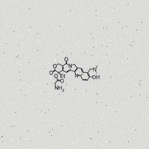 CC[C@@]1(OC(=O)CN)C(=O)OCc2c1cc1n(c2=O)Cc2cc3c(CN(C)C)c(O)ccc3nc2-1